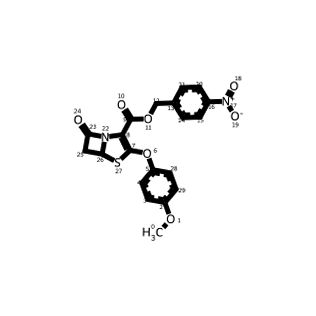 COc1ccc(OC2=C(C(=O)OCc3ccc([N+](=O)[O-])cc3)N3C(=O)CC3S2)cc1